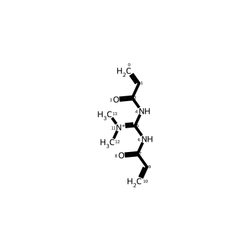 C=CC(=O)NC(NC(=O)C=C)=[N+](C)C